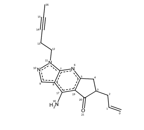 C=CCC1Cc2nc3c(cnn3CCC#CC)c(N)c2C1=O